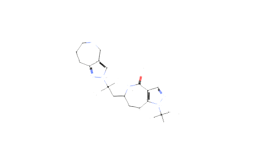 CC(C)(C)n1ncc2c1CCC(CC(C)(C)n1cc3c(n1)CCCNC3)NC2=O